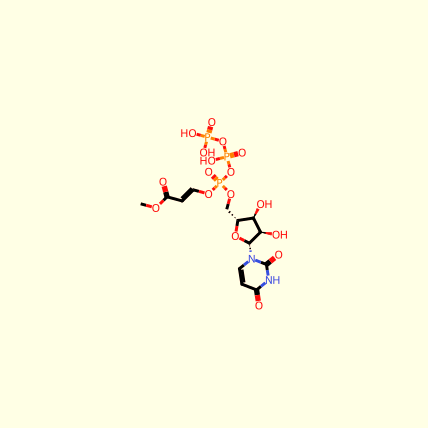 COC(=O)C=COP(=O)(OC[C@H]1O[C@@H](n2ccc(=O)[nH]c2=O)[C@H](O)[C@@H]1O)OP(=O)(O)OP(=O)(O)O